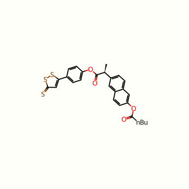 CCCCC(=O)Oc1ccc2cc([C@H](C)C(=O)Oc3ccc(-c4cc(=S)ss4)cc3)ccc2c1